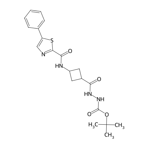 CC(C)(C)OC(=O)NNC(=O)C1CC(NC(=O)c2ncc(-c3ccccc3)s2)C1